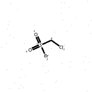 O=S(=O)(Br)CCl